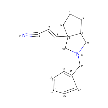 N#CC=CC12CCCC1CN(Cc1ccccc1)C2